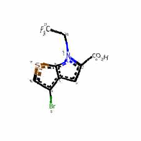 O=C(O)c1cc2c(Br)csc2n1CC(F)(F)F